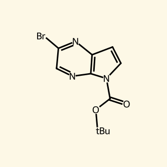 CC(C)(C)OC(=O)n1ccc2nc(Br)cnc21